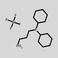 F[B-](F)(F)F.PCCCP(C1CCCCC1)C1CCCCC1